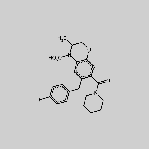 CC1COc2nc(C(=O)N3CCCCC3)c(Cc3ccc(F)cc3)cc2N1C(=O)O